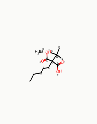 CCCCCC(C(=O)O)(C(=O)O)C(C)(C)C.[BaH2]